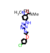 CNC(=O)c1cc(Nc2ncnc(N3CC(Oc4ccc(Cl)cc4)C3)n2)ccc1N(C)C